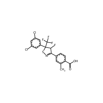 Cc1cc(C2=NSC(c3cc(Cl)cc(Cl)c3)(C(F)(F)F)C2F)ccc1C(=O)O